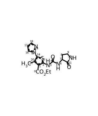 CCOC(=O)c1c(NC(=O)NC2CCNC2=O)sc(-n2cccn2)c1C